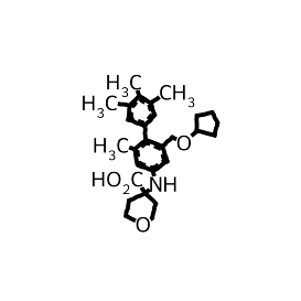 Cc1cc(-c2c(C)cc(NC3(C(=O)O)CCOCC3)cc2COC2CCCC2)cc(C)c1C